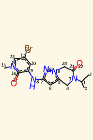 CC(C)N1Cc2cc(Nc3cc(Br)cn(C)c3=O)nn2CC1=O